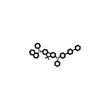 CC1(C)c2cc(N(c3ccccc3)c3ccc(-c4ccc(-c5ccccc5)cc4)cc3)ccc2-c2ccc(N(c3ccccc3)c3cccc4ccccc34)cc21